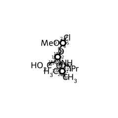 COc1cc(Cl)ccc1COc1ccc(CCC(=O)O)c(C(=O)NC(CC(C)C)c2cc(C)cc(C)c2)c1